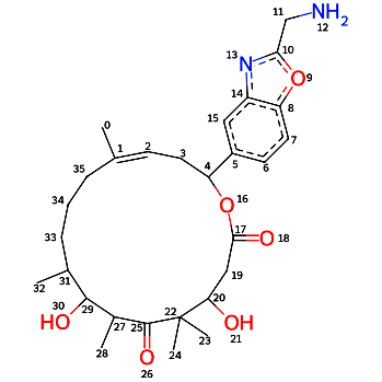 CC1=CCC(c2ccc3oc(CN)nc3c2)OC(=O)CC(O)C(C)(C)C(=O)C(C)C(O)C(C)CCC1